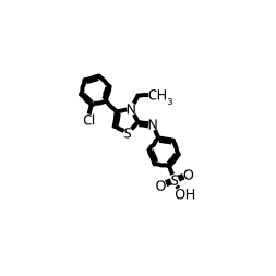 CCn1c(-c2ccccc2Cl)cs/c1=N\c1ccc(S(=O)(=O)O)cc1